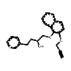 C#CCOc1ccc2ccccc2c1OCC(O)CCc1cccnc1